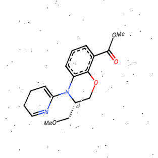 COC[C@H]1COc2c(C(=O)OC)cccc2N1C1=CCCC=N1